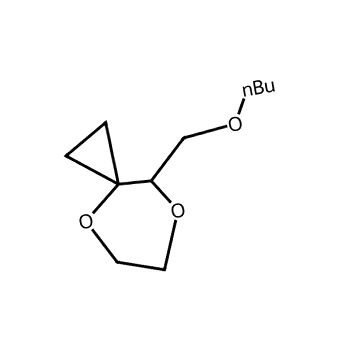 CCCCOCC1OCCOC12CC2